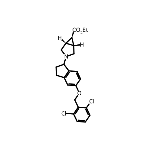 CCOC(=O)[C@H]1[C@@H]2CN(C3CCc4cc(OCc5c(Cl)cccc5Cl)ccc43)C[C@@H]21